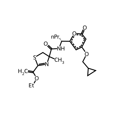 C=C(OCC)C1=NC(C)(C(=O)N[C@H](CCC)c2cc(OCC3CC3)cc(=O)o2)CS1